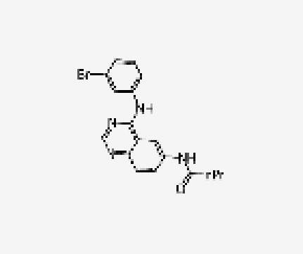 CCCC(=O)Nc1ccc2ncnc(Nc3cccc(Br)c3)c2c1